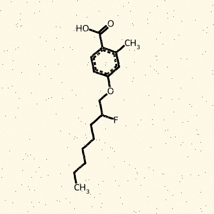 CCCCCCC(F)COc1ccc(C(=O)O)c(C)c1